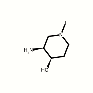 N[C@H]1CN(I)CC[C@H]1O